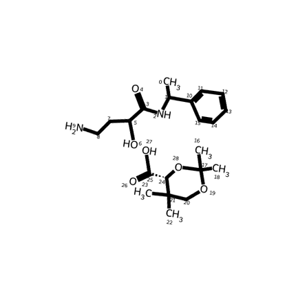 CC(NC(=O)C(O)CCN)c1ccccc1.CC1(C)OCC(C)(C)[C@H](C(=O)O)O1